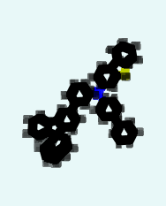 c1ccc(-c2ccc(N(c3cccc(-c4ccc5c(c4)-c4ccccc4C54C5CC6CC(C5)CC4C6)c3)c3ccc4c(c3)sc3ccccc34)cc2)cc1